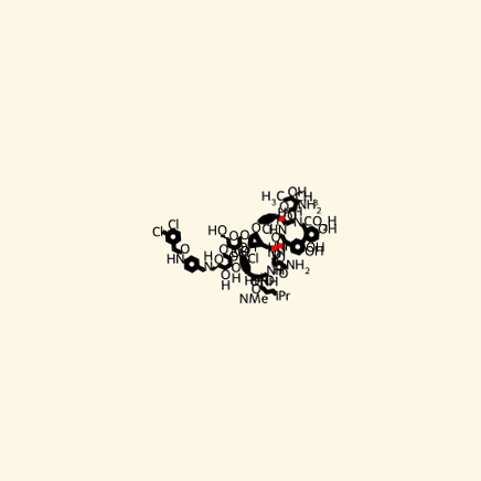 CN[C@H](CC(C)C)C(=O)N[C@H]1C(=O)N[C@@H](CC(N)=O)C(=O)N[C@H]2C(=O)N[C@H]3C(=O)N[C@H](C(=O)N[C@@H](C(=O)O)c4cc(O)cc(O)c4-c4cc3ccc4O)[C@H](OC3C[C@](C)(N)[C@@H](O)[C@H](C)O3)c3ccc(c(Cl)c3)Oc3cc2cc(c3O[C@@H]2O[C@H](CO)[C@@H](O[C@@H]3O[C@H](CNCc4ccc(NC(=O)Cc5ccc(Cl)c(Cl)c5)cc4)[C@H](O)[C@H](O)[C@H]3O)[C@H](O)[C@H]2O)Oc2ccc(cc2Cl)[C@H]1O